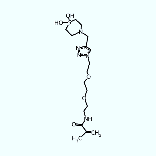 C=C(C)C(=O)NCCOCCOCCn1cc(CN2CCS(O)(O)CC2)nn1